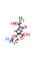 CSC(ON)C1=C(C(=O)O)N2C(=O)C(C(C)O)C2C1